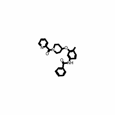 Cc1ccc(NC(=O)c2ccccc2)cc1OC1CCN(C(=O)c2ccccn2)CC1